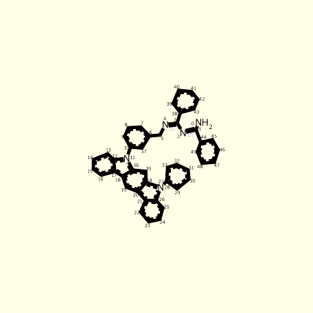 N/C(=N\C(=N/Cc1cccc(-n2c3ccccc3c3cc4c5ccccc5n(-c5ccccc5)c4cc32)c1)c1ccccc1)c1ccccc1